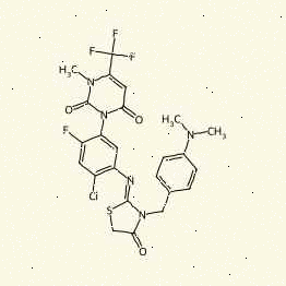 CN(C)c1ccc(CN2C(=O)CSC2=Nc2cc(-n3c(=O)cc(C(F)(F)F)n(C)c3=O)c(F)cc2Cl)cc1